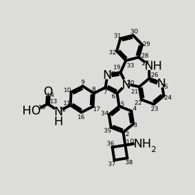 NC1(c2ccc(-c3c(-c4ccc(NC(=O)O)cc4)nc4n3-c3cccnc3Nc3ccccc3-4)cc2)CCC1